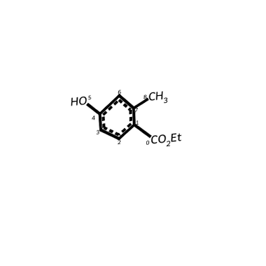 CCOC(=O)c1ccc(O)cc1C